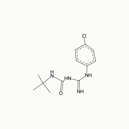 CC(C)(C)NC(=O)NC(=N)Nc1ccc(Cl)cc1